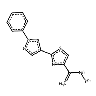 C=C(NCCC)c1csc(-c2cnn(-c3ccccc3)c2)n1